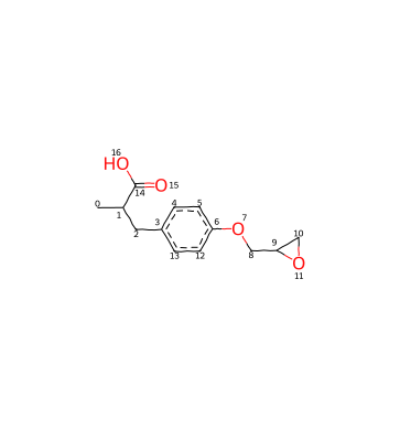 CC(Cc1ccc(OCC2CO2)cc1)C(=O)O